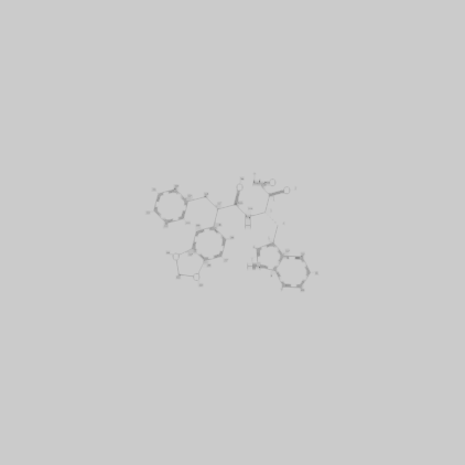 COC(=O)[C@H](Cc1c[nH]c2ccccc12)NC(=O)C(Cc1ccccc1)c1ccc2c(c1)OCO2